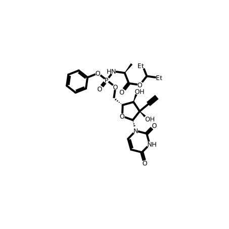 C#C[C@@]1(O)[C@H](O)[C@@H](COP(=O)(N[C@@H](C)C(=O)OC(CC)CC)Oc2ccccc2)O[C@H]1n1ccc(=O)[nH]c1=O